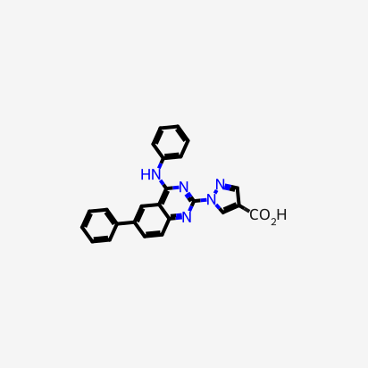 O=C(O)c1cnn(-c2nc(Nc3ccccc3)c3cc(-c4ccccc4)ccc3n2)c1